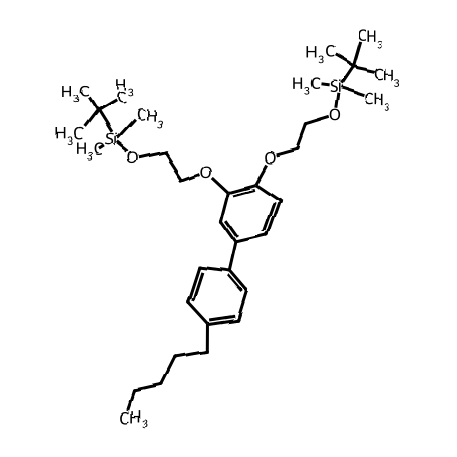 CCCCCc1ccc(-c2ccc(OCCO[Si](C)(C)C(C)(C)C)c(OCCO[Si](C)(C)C(C)(C)C)c2)cc1